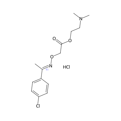 C/C(=N\OCC(=O)OCCN(C)C)c1ccc(Cl)cc1.Cl